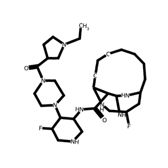 CCN1CCC(C(=O)N2CCN(C3C(F)CNCC3NC(=O)C3C(N)NC4CCCCCCCC3NCC(F)C4)CC2)C1